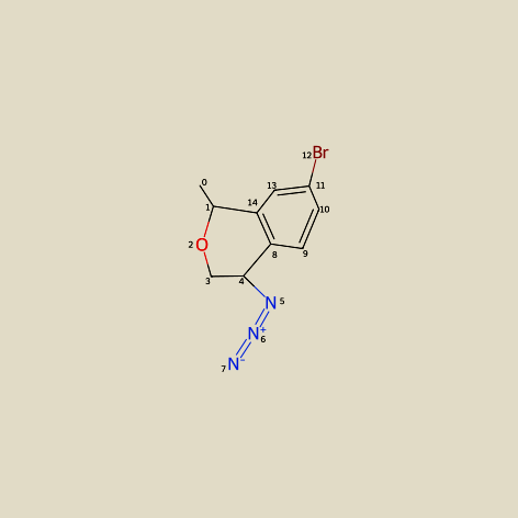 CC1OCC(N=[N+]=[N-])c2ccc(Br)cc21